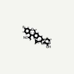 CC(C#N)=C1c2ccc(Cc3c(C4CC4)nc4c(O)nccn34)cc2COc2cc(F)ccc21